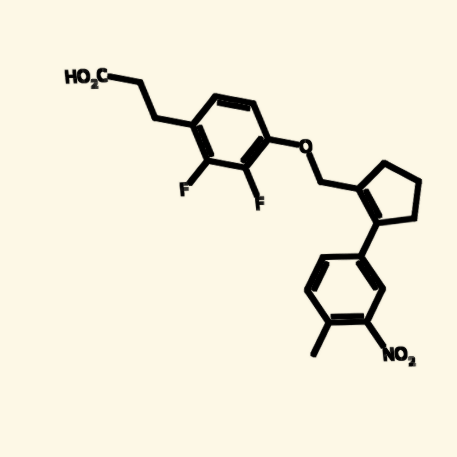 Cc1ccc(C2=C(COc3ccc(CCC(=O)O)c(F)c3F)CCC2)cc1[N+](=O)[O-]